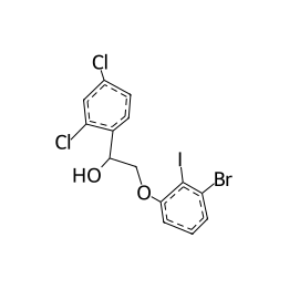 OC(COc1cccc(Br)c1I)c1ccc(Cl)cc1Cl